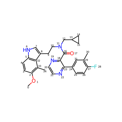 COc1ccc2[nH]cc(CCN(CC3CC3)C(=O)c3nccnc3-c3ccc(F)c(C)c3)c2c1C